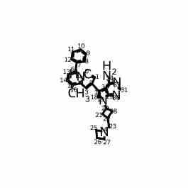 C=C/C(=C\c1nc(-c2ccccc2)ccc1C)c1cn(C2CC(CN3CCC3)C2)c2ncnc(N)c12